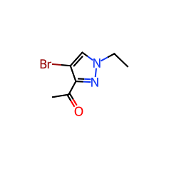 CCn1cc(Br)c(C(C)=O)n1